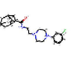 O=C(NCCN1CCN(c2cccc(Cl)c2)CC1)C12CC3CC(CC1C3)C2